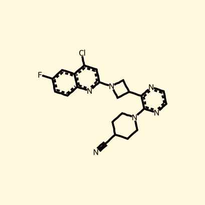 N#CC1CCN(c2nccnc2C2CN(c3cc(Cl)c4cc(F)ccc4n3)C2)CC1